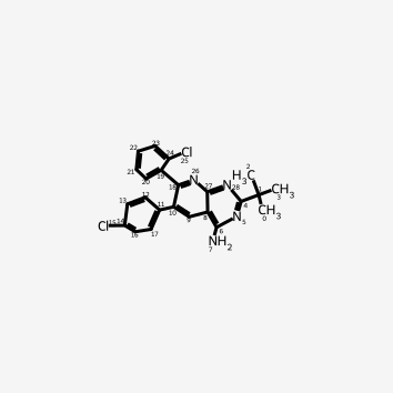 CC(C)(C)c1nc(N)c2cc(-c3ccc(Cl)cc3)c(-c3ccccc3Cl)nc2n1